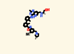 Cc1nc(Nc2cccc(-c3cccc(-c4nc5cc(CN6CC[C@H](C)C6)cc(C#N)c5o4)c3C)c2C)c2ncc(CN[C@@H](C)CO)cc2n1